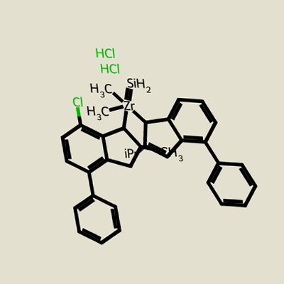 CC(C)C1=Cc2c(-c3ccccc3)cccc2[CH]1[Zr]([CH3])([CH3])(=[SiH2])[CH]1c2c(Cl)ccc(-c3ccccc3)c2CC1C.Cl.Cl